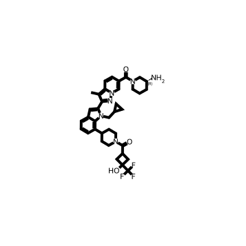 Cc1c(-c2cc3cccc(C4CCN(C(=O)C5CC(O)(C(F)(F)F)C5)CC4)c3n2CC2CC2)nn2cc(C(=O)N3CCC[C@@H](N)C3)ccc12